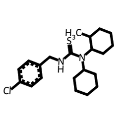 CC1CCCCC1N(C(=S)NCc1ccc(Cl)cc1)C1CCCCC1